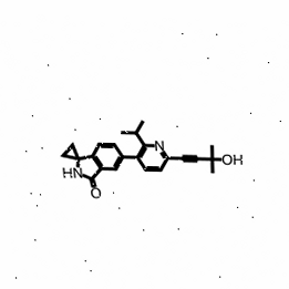 CC(C)c1nc(C#CC(C)(C)O)ccc1-c1ccc2c(c1)C(=O)NC21CC1